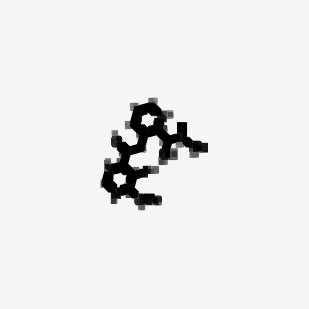 COc1ncnc(C(=O)Cc2cccnc2C(O)NC(C)(C)C)c1F